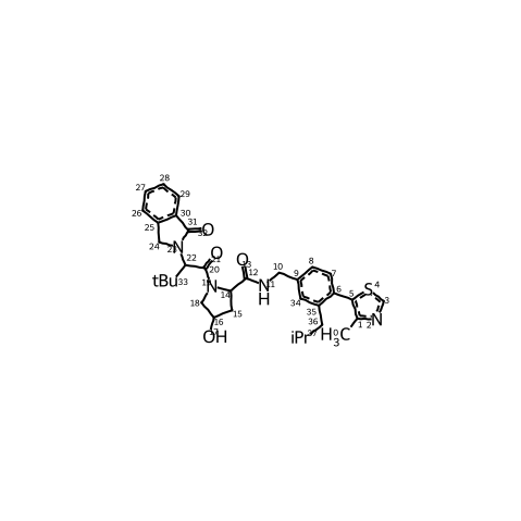 Cc1ncsc1-c1ccc(CNC(=O)C2CC(O)CN2C(=O)C(N2Cc3ccccc3C2=O)C(C)(C)C)cc1CC(C)C